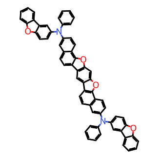 c1ccc(N(c2ccc3c(ccc4c5cc6c(cc5oc34)oc3c4ccc(N(c5ccccc5)c5ccc7oc8ccccc8c7c5)cc4ccc63)c2)c2ccc3oc4ccccc4c3c2)cc1